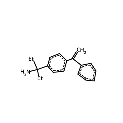 C=C(c1ccccc1)c1ccc(C(N)(CC)CC)cc1